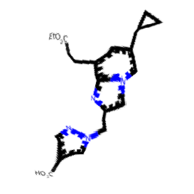 CCOC(=O)Cc1cc(C2CC2)cn2cc(Cn3cc(C(=O)O)cn3)nc12